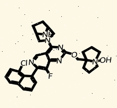 O[N+]12CCCC1(COc1nc(N3CC4CCC(C3)N4)c3cnc(-c4cccc5cccc(Cl)c45)c(F)c3n1)CCC2